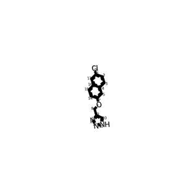 Clc1ccc2cc(OCc3c[nH]nn3)ccc2c1